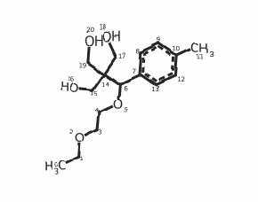 CCOCCOC(c1ccc(C)cc1)C(CO)(CO)CO